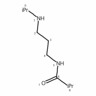 CC(C)NCCCNC(=O)C(C)C